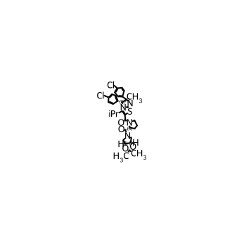 CC(C)C1=C(C(=O)N2CCC[C@@H]2C(=O)N2C[C@@H]3OC(C)(C)O[C@@H]3C2)SC2=N[C@@](C)(c3ccc(Cl)cc3)[C@@H](c3ccc(Cl)cc3)N21